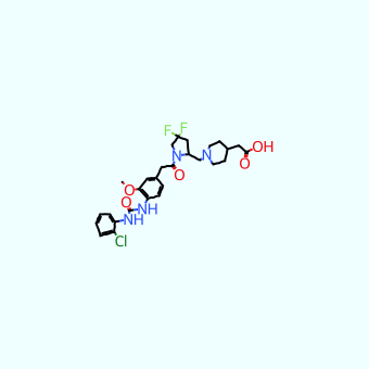 COc1cc(CC(=O)N2CC(F)(F)CC2CN2CCC(CC(=O)O)CC2)ccc1NC(=O)Nc1ccccc1Cl